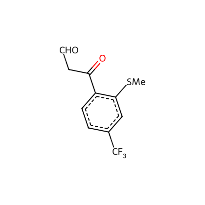 CSc1cc(C(F)(F)F)ccc1C(=O)CC=O